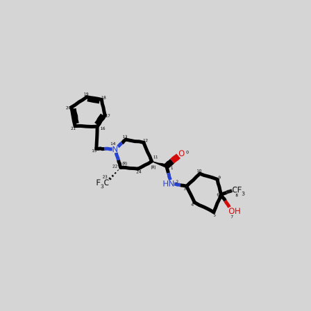 O=C(NC1CCC(O)(C(F)(F)F)CC1)[C@@H]1CCN(Cc2ccccc2)[C@@H](C(F)(F)F)C1